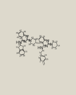 Cc1ccc(CCNc2nc(N3CCCCC3)nc3ccccc23)cc1.c1ccc2c(c1)CC(Nc1nc(N3CCCCC3)nc3ccccc13)C2